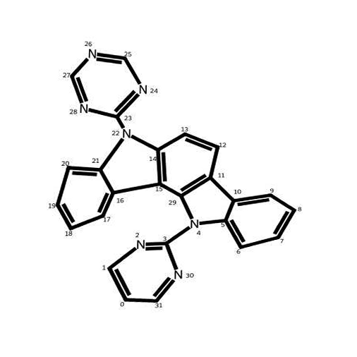 c1cnc(-n2c3ccccc3c3ccc4c(c5ccccc5n4-c4ncncn4)c32)nc1